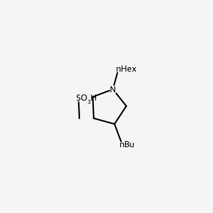 CCCCCCN1CCC(CCCC)C1.CS(=O)(=O)O